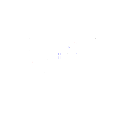 C=CC1C[C@H](OC(=O)C2(c3ccccc3)CCCC2)C1CCNCc1noc(-c2ccccc2)n1